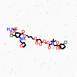 C[C@@H]1N(C(=O)OCOC(=O)CC(=O)OCCCCOC(=O)c2cc(S(N)(=O)=O)c(Cl)cc2NCc2ccco2)C(C)(C)CO[C@@]1(O)c1cccc(Cl)c1